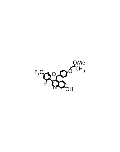 COC(C)COc1ccc([C@@H](O)c2c(-c3ccc(C(F)(F)F)cc3F)cnc3cc(O)ccc23)cc1